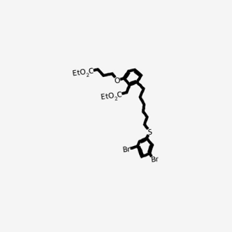 CCOC(=O)CCCOc1cccc(CCCCCCSc2cc(Br)cc(Br)c2)c1CC(=O)OCC